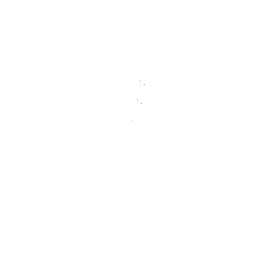 Oc1ccc2cc(C(Cn3ccnc3)(Sc3ccccc3)Sc3ccccc3)ccc2c1